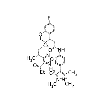 C=[N+]1C(C)=C(c2ccc(NC(=O)CC3c4ccc(F)cc4OCC34CC4CC(C)c3nonc3C(=O)CC)cc2)C(C)=[N+]1C